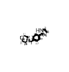 c1c[nH]c(-c2ccc(CN3CCOCC3)cc2)n1